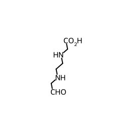 O=CCNCCNCC(=O)O